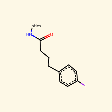 CCCCCCNC(=O)CCCc1ccc(I)cc1